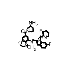 CN1CCOc2cc(C(=O)N3CCCC(N)C3)cc(/N=C/c3cc4ccc(F)cc4n3CC3=C(F)C=CCN3)c21